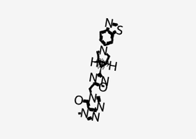 Cn1cnc2ncn(Cc3nc([C@H]4[C@@H]5CN(c6ccc7ncsc7c6)C[C@@H]54)no3)c(=O)c21